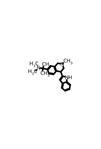 CN1Cc2cc(C(C)(C)N(C)C)ccc2C(c2cc3ccccc3[nH]2)C1